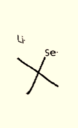 CC(C)(C)[Se].[Li]